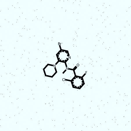 CN(C(=O)c1c(F)cccc1Cl)c1ncc(Br)cc1N1CCCCC1